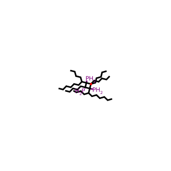 CCCCCCC(CCCC)C(P)(CCCCCC)C(P)(CCCCC)C(P)(CCCCCC)C(CCCC)CCCCCC